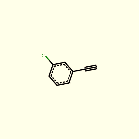 C#Cc1[c]ccc(Cl)c1